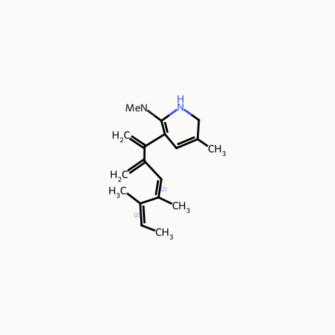 C=C(/C=C(C)\C(C)=C/C)C(=C)C1=C(NC)NCC(C)=C1